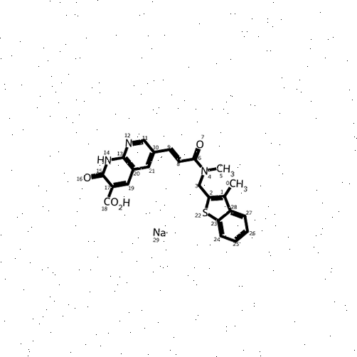 Cc1c(CN(C)C(=O)C=Cc2cnc3[nH]c(=O)c(C(=O)O)cc3c2)sc2ccccc12.[Na]